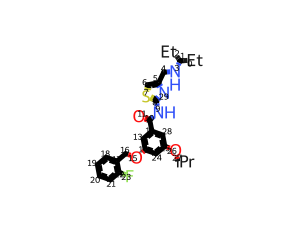 CCC(CC)NCc1csc(NC(=O)c2cc(OCc3ccccc3F)cc(OC(C)C)c2)n1